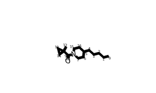 CCCCCC1CCN(C(=O)C2(C)CC2)CC1